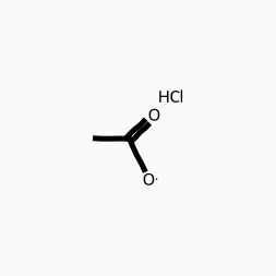 CC([O])=O.Cl